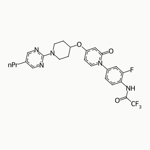 CCCc1cnc(N2CCC(Oc3ccn(-c4ccc(NC(=O)C(F)(F)F)c(F)c4)c(=O)c3)CC2)nc1